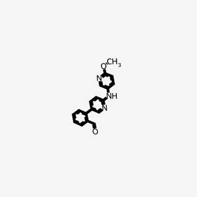 COc1ccc(Nc2ccc(-c3ccccc3C=O)cn2)cn1